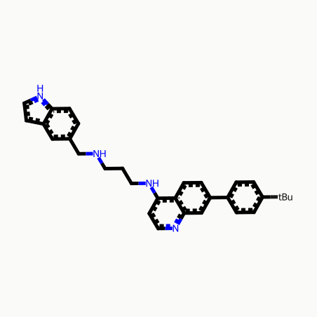 CC(C)(C)c1ccc(-c2ccc3c(NCCCNCc4ccc5[nH]ccc5c4)ccnc3c2)cc1